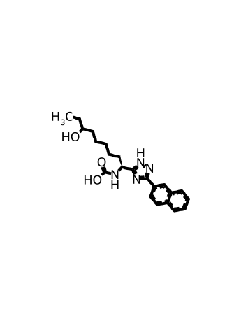 CCC(O)CCCCC[C@H](NC(=O)O)c1nc(-c2ccc3ccccc3c2)n[nH]1